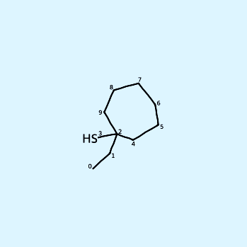 CCC1(S)CCCCCC1